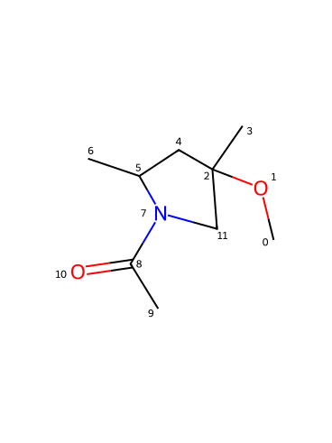 COC1(C)CC(C)N(C(C)=O)C1